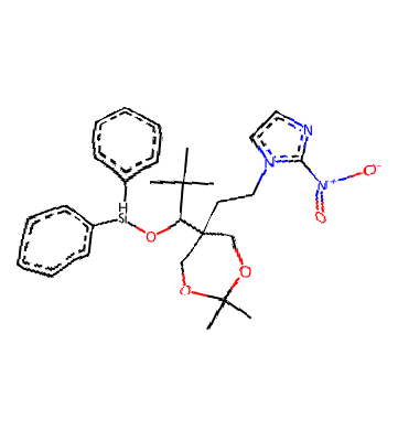 CC1(C)OCC(CCn2ccnc2[N+](=O)[O-])(C(O[SiH](c2ccccc2)c2ccccc2)C(C)(C)C)CO1